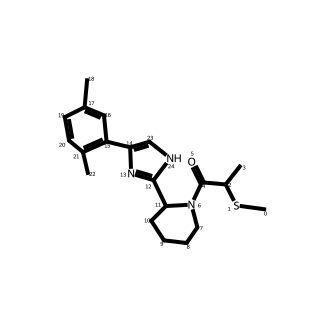 CSC(C)C(=O)N1CCCCC1c1nc(-c2cc(C)ccc2C)c[nH]1